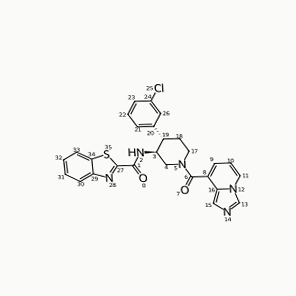 O=C(N[C@@H]1CN(C(=O)c2cccn3cncc23)CC[C@H]1c1cccc(Cl)c1)c1nc2ccccc2s1